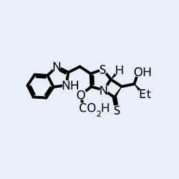 CC[C@H](O)[C@H]1C(=S)N2C(OC(=O)O)=C(Cc3nc4ccccc4[nH]3)S[C@H]12